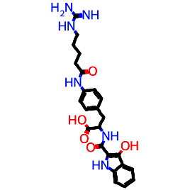 N=C(N)NCCCCC(=O)Nc1ccc(CC(NC(=O)c2[nH]c3ccccc3c2O)C(=O)O)cc1